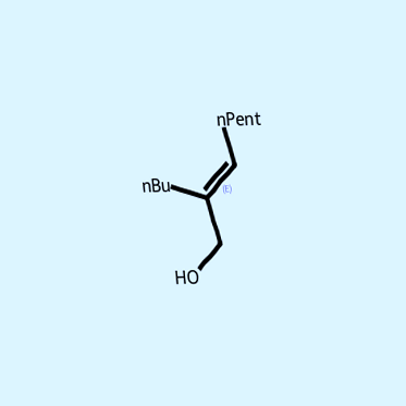 CCCCC/C=C(/CO)CCCC